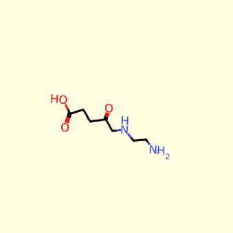 NCCNCC(=O)CCC(=O)O